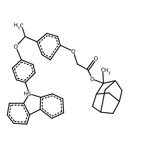 CC(Oc1ccc([SH]2c3ccccc3-c3ccccc32)cc1)c1ccc(OCC(=O)OC2(C)C3CC4CC(C3)CC2C4)cc1